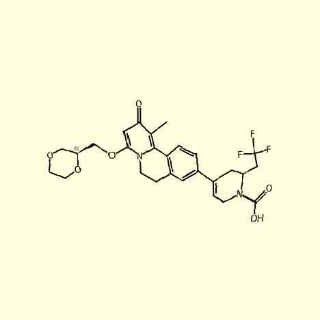 Cc1c2n(c(OC[C@@H]3COCCO3)cc1=O)CCc1cc(C3=CCN(C(=O)O)C(CC(F)(F)F)C3)ccc1-2